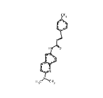 CN(C)c1ccc2cc(NC(=O)C=Cc3ccc(C(F)(F)F)cc3)ccc2n1